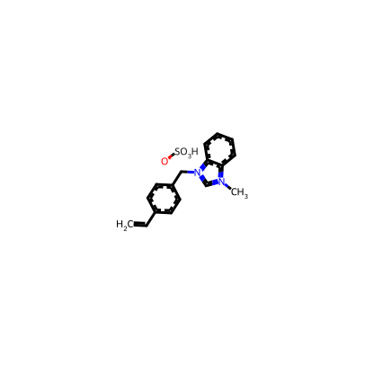 C=Cc1ccc(C[n+]2cn(C)c3ccccc32)cc1.O=S(=O)([O-])O